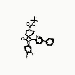 CC(C)(C)OC(=O)N1CCC2(CC1)C(=O)N(c1ccc(F)c(Cl)c1)C2c1ccc(-c2ccccc2)cn1